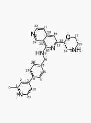 Cc1cc(-c2ccc(CNc3nc(C4CNCCO4)cc4ccncc34)cc2)ccn1